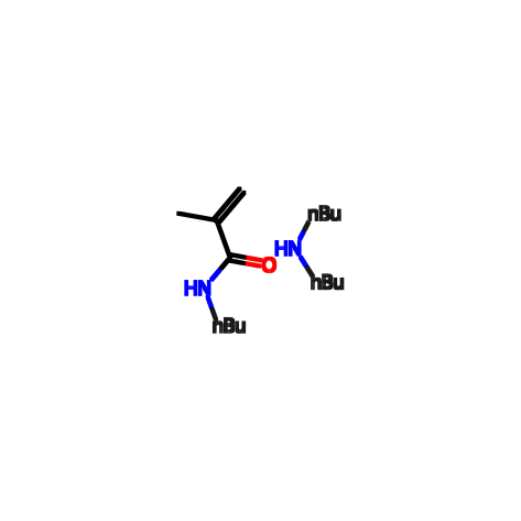 C=C(C)C(=O)NCCCC.CCCCNCCCC